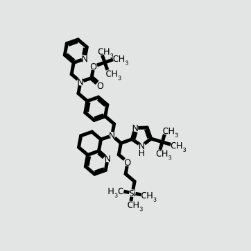 CC(C)(C)OC(=O)N(Cc1ccc(CN(C(COCC[Si](C)(C)C)c2ncc(C(C)(C)C)[nH]2)C2CCCc3cccnc32)cc1)Cc1ccccn1